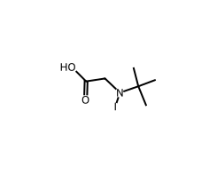 CC(C)(C)N(I)CC(=O)O